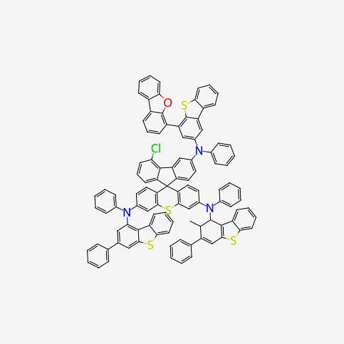 CC1C(c2ccccc2)=Cc2sc3ccccc3c2C1N(c1ccccc1)c1ccc2c(c1)Sc1cc(N(c3ccccc3)c3cc(-c4ccccc4)cc4sc5ccccc5c34)ccc1C21c2ccc(N(c3ccccc3)c3cc(-c4cccc5c4oc4ccccc45)c4sc5ccccc5c4c3)cc2-c2c(Cl)cccc21